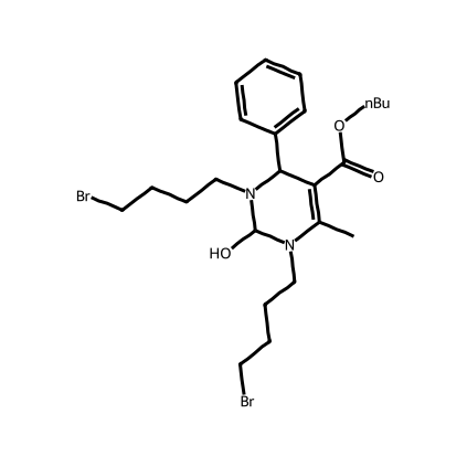 CCCCOC(=O)C1=C(C)N(CCCCBr)C(O)N(CCCCBr)C1c1ccccc1